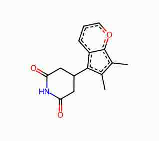 Cc1c2occcc-2c(C2CC(=O)NC(=O)C2)c1C